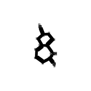 O=C1CC=C2NC(=O)C=CC=C2C1